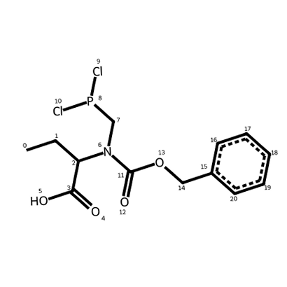 CCC(C(=O)O)N(CP(Cl)Cl)C(=O)OCc1ccccc1